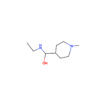 CCNC(O)C1CCN(C)CC1